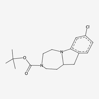 CC(C)(C)OC(=O)N1CCC2Cc3ccc(Cl)cc3N2CC1